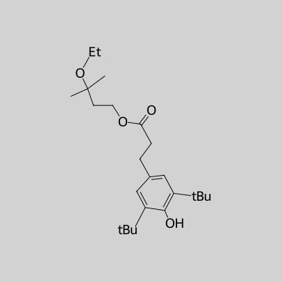 CCOC(C)(C)CCOC(=O)CCc1cc(C(C)(C)C)c(O)c(C(C)(C)C)c1